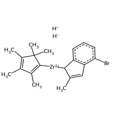 CC1=Cc2c(Br)cccc2[CH]1[Zr+2][C]1=C(C)C(C)=C(C)C1(C)C.[H-].[H-]